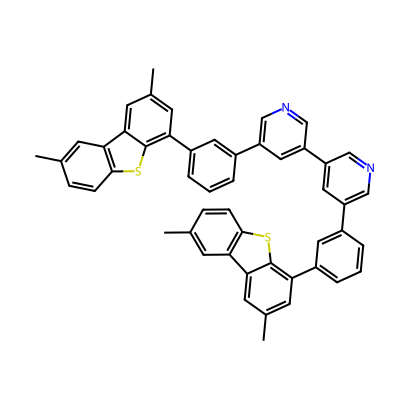 Cc1ccc2sc3c(-c4cccc(-c5cncc(-c6cncc(-c7cccc(-c8cc(C)cc9c8sc8ccc(C)cc89)c7)c6)c5)c4)cc(C)cc3c2c1